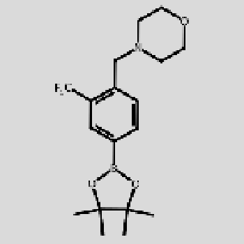 CC1(C)OB(c2ccc(CN3CCOCC3)c(C(F)(F)F)c2)OC1(C)C